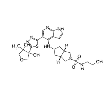 CC1(C)COCC1(O)c1nnc(-c2cnc3[nH]ccc3c2NC2C[C@@H]3CN(S(=O)(=O)NCCO)C[C@@H]3C2)s1